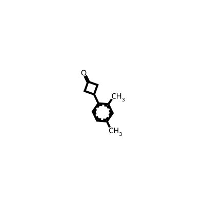 Cc1ccc(C2CC(=O)C2)c(C)c1